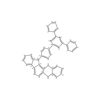 c1ccc(-c2nc(-c3ccccc3)nc(-c3ccc(-n4c5ccccc5c5ccc6c(c54)Oc4ccccc4O6)cc3)n2)cc1